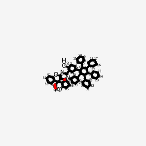 Cc1ccc(-c2c(-c3ccccc3)c(-c3ccccc3)c(-c3ccccc3)c(-c3ccccc3)c2-c2ccccc2)cc1-c1ncc2c(n1)Oc1ccccc1C21c2ccccc2Oc2ccccc21